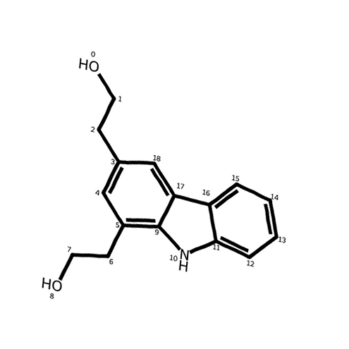 OCCc1cc(CCO)c2[nH]c3ccccc3c2c1